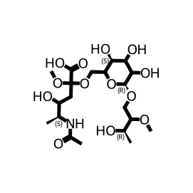 COC(CO[C@@H]1OC(COC(CC(O)[C@H](C)NC(C)=O)(OC)C(=O)O)[C@@H](O)C(O)C1O)[C@@H](C)O